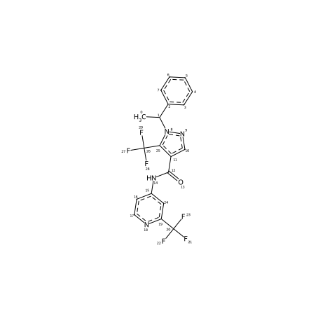 CC(c1ccccc1)n1ncc(C(=O)Nc2ccnc(C(F)(F)F)c2)c1C(F)(F)F